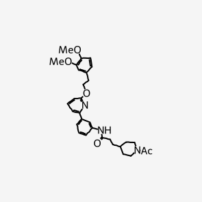 COc1ccc(CCOc2cccc(-c3cccc(NC(=O)CCC4CCN(C(C)=O)CC4)c3)n2)cc1OC